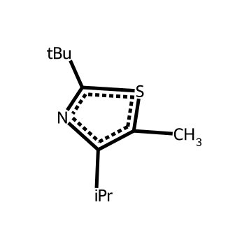 Cc1sc(C(C)(C)C)nc1C(C)C